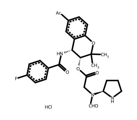 CC(=O)c1ccc2c(c1)[C@@H](NC(=O)c1ccc(F)cc1)[C@@H](OC(=O)CN(C=O)[C@H]1CCCN1)C(C)(C)O2.Cl